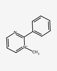 C[n+]1cccnc1-c1ccccc1